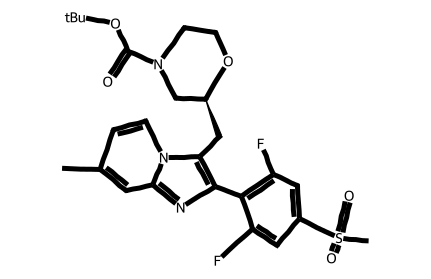 Cc1ccn2c(C[C@H]3CN(C(=O)OC(C)(C)C)CCO3)c(-c3c(F)cc(S(C)(=O)=O)cc3F)nc2c1